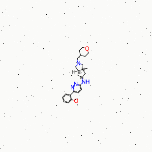 COc1ccccc1-c1ccc(N[C@H]2C[C@@H]3CN(CC4CCOCC4)C[C@]3(C)C2)nn1